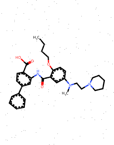 CCCCOc1ccc(N(C)CCN2CCCCC2)cc1C(=O)Nc1cc(-c2ccccc2)ccc1C(=O)O